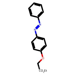 CCOC(=O)COc1ccc(N=Nc2ccccc2)cc1